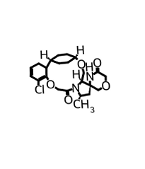 C[C@@H]1C[C@@]2(COCC(=O)N2)[C@@H]2CO[C@H]3CC[C@H](CC3)C3CC=CC(Cl)=C3OCC(=O)N12